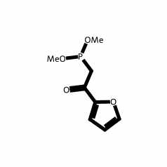 COP(CC(=O)c1ccco1)OC